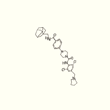 O=C(NCC12CC3CC(CC(C3)C1)C2)c1ccc(N2CCN(C(=O)Nc3c(Cl)cc(CN4CCCC4)cc3Cl)CC2)cc1